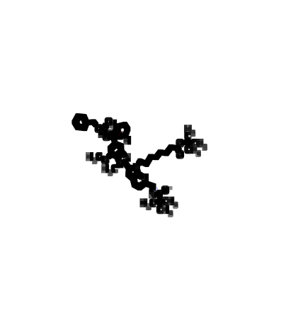 COc1cc(C(=O)N2[C@H]3CC[C@@H]2[C@H](NC(=O)OCc2ccccc2)C3)cc2nc(-c3cc4ccc(/C=N/[S+]([O-])C(C)(C)C)nc4n3CCCCCCCC(=O)OC(C)(C)C)n(C)c12